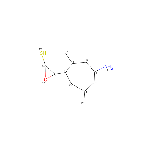 CC1CC(N)CC(C)C(C2OC2S)C1